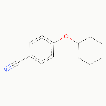 N#Cc1ccc(OC2CCCCC2)cc1